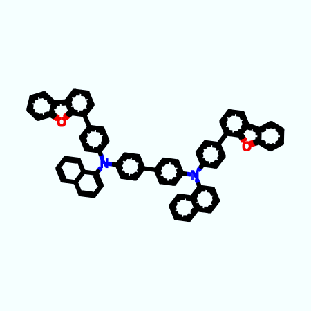 C1=CC2C=CC=C(N(c3ccc(-c4ccc(N(c5ccc(-c6cccc7c6oc6ccccc67)cc5)c5cccc6ccccc56)cc4)cc3)c3ccc(-c4cccc5c4oc4ccccc45)cc3)C2C=C1